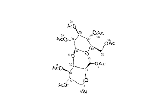 CC(=O)OC[C@H]1O[C@H](Br)[C@H](OC(C)=O)[C@@H](OC(C)=O)C1O[C@@H]1O[C@H](COC(C)=O)[C@@H](OC(C)=O)[C@H](OC(C)=O)[C@H]1OC(C)=O